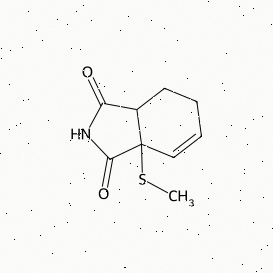 CSC12C=CCCC1C(=O)NC2=O